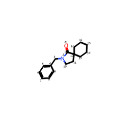 O=C1N(Cc2ccccc2)CCC12CCCCC2